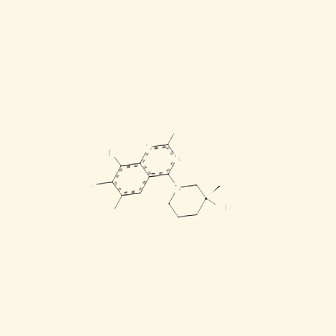 C[C@@]1(O)CCCN(c2nc(Cl)nc3c(F)c(Br)c(I)cc23)C1